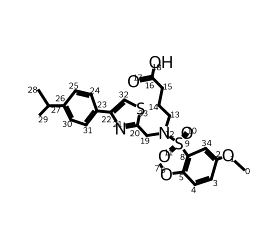 COc1ccc(OC)c(S(=O)(=O)N(CCCC(=O)O)Cc2nc(-c3ccc(C(C)C)cc3)cs2)c1